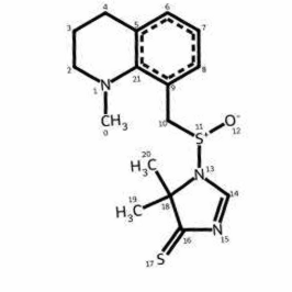 CN1CCCc2cccc(C[S+]([O-])N3C=NC(=S)C3(C)C)c21